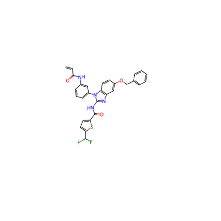 C=CC(=O)Nc1cccc(-n2c(NC(=O)c3ccc(C(F)F)s3)nc3cc(OCc4ccccc4)ccc32)c1